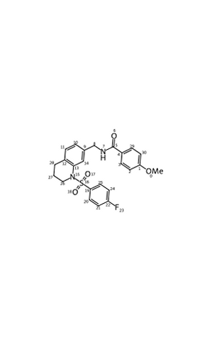 COc1ccc(C(=O)NCc2ccc3c(c2)N(S(=O)(=O)c2ccc(F)cc2)CCC3)cc1